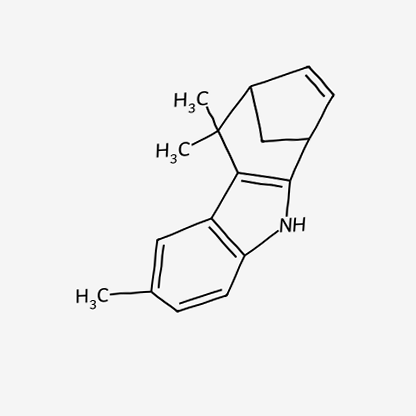 Cc1ccc2[nH]c3c(c2c1)C(C)(C)C1C=CC3C1